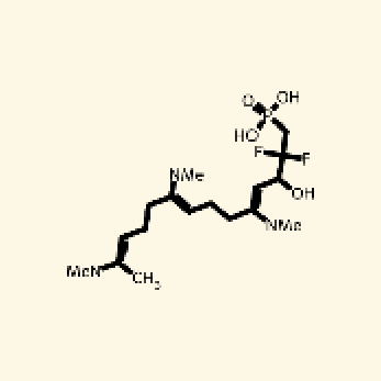 CNC(C)=CCCC(=CCCC(=CC(O)C(F)(F)CP(=O)(O)O)NC)NC